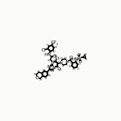 CCc1c(N2CCN(C(=O)c3ccccc3NS(=O)(=O)C3CC3)CC2)c(=O)n2nc(-c3ccc4c(c3)CCOC4)nc2n1CC(=O)Nc1ccc(C(F)(F)F)cc1Cl